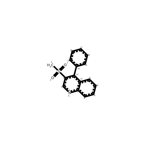 CS(=O)(=O)c1cnc2ccccc2c1-c1ccccc1